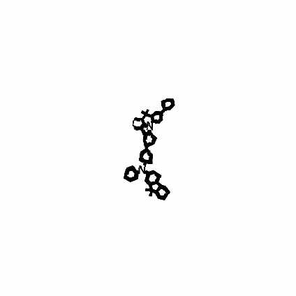 CC1(C)c2ccccc2-c2ccc(N(c3ccccc3)c3ccc(-c4ccc5c(c4)c4cccc6c4n5-c4ccc(-c5ccccc5)cc4C6(C)C)cc3)cc21